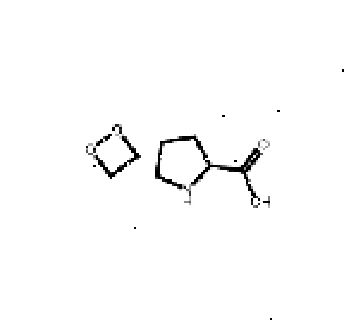 C1COO1.O=C(O)[C@@H]1CCCN1